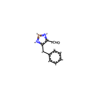 O=Cc1nsnc1Cc1ccccc1